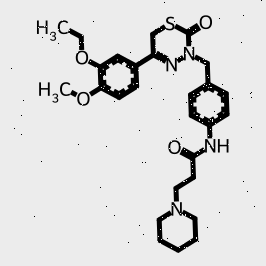 CCOc1cc(C2=NN(Cc3ccc(NC(=O)CCN4CCCCC4)cc3)C(=O)SC2)ccc1OC